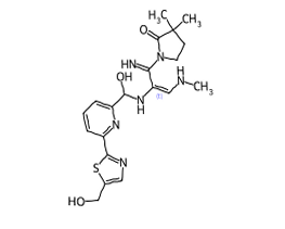 CN/C=C(/NC(O)c1cccc(-c2ncc(CO)s2)n1)C(=N)N1CCC(C)(C)C1=O